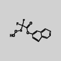 O=C(Oc1ccc2ccccc2c1)C(F)(F)SOO